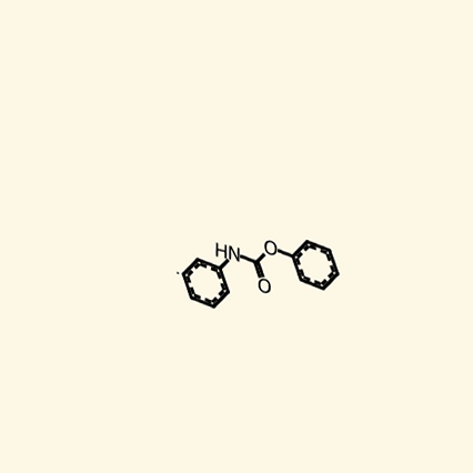 O=C(Nc1c[c]ccc1)Oc1ccccc1